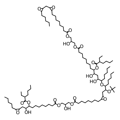 CCCCCC(OC(CCCCC)C(CC1OC1CCCCCCCC(=O)OCC(O)COC(=O)CCCCCCCC(OC(=O)C(CC)CCCC)C(O)CC1OC1CCCCC)OC(C)(C)C)C(O)CC(O)C(CCCCCCCC(=O)OCC(O)COC(=O)CCCCCCCC1OC1CC1OC1CCCCC)OC(=O)C(CC)CCCC